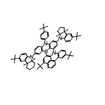 CC(C)(C)c1ccc(N2c3ccc(N4c5ccc(C(C)(C)C)cc5C5(C)CCCCC45C)cc3B3c4cc(C(C)(C)C)ccc4N(c4ccc(C(C)(C)C)cc4-c4ccccc4)c4cc(N5c6ccc(C(C)(C)C)cc6C6(C)CCCC56C)cc2c43)cc1